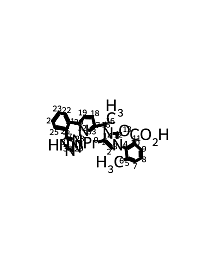 CCCc1cn(-c2c(C)cccc2C(=O)O)c(=O)n1C(C)c1ccc(-c2ccccc2-c2nnn[nH]2)nc1